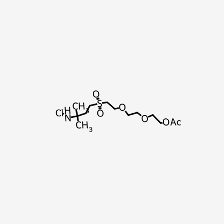 CC(=O)OCCOCCOCCS(=O)(=O)CCC(C)(C)NCl